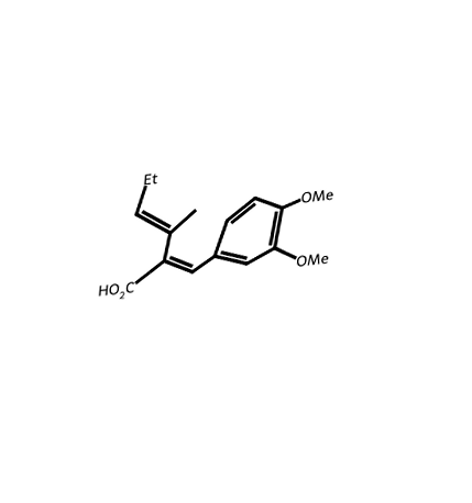 CC/C=C(\C)C(=Cc1ccc(OC)c(OC)c1)C(=O)O